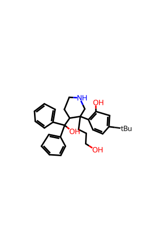 CC(C)(C)c1ccc(C2(CCCO)CNCCC2C(O)(c2ccccc2)c2ccccc2)c(O)c1